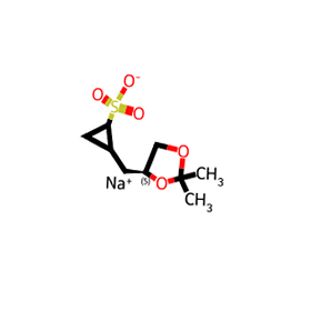 CC1(C)OC[C@H](CC2CC2S(=O)(=O)[O-])O1.[Na+]